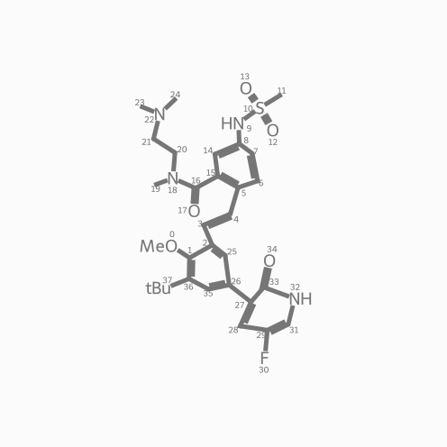 COc1c(C=Cc2ccc(NS(C)(=O)=O)cc2C(=O)N(C)CCN(C)C)cc(-c2cc(F)c[nH]c2=O)cc1C(C)(C)C